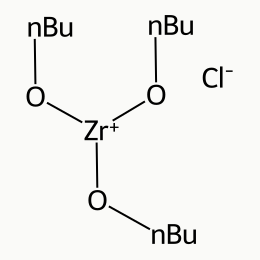 CCCC[O][Zr+]([O]CCCC)[O]CCCC.[Cl-]